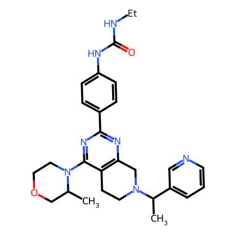 CCNC(=O)Nc1ccc(-c2nc3c(c(N4CCOCC4C)n2)CCN(C(C)c2cccnc2)C3)cc1